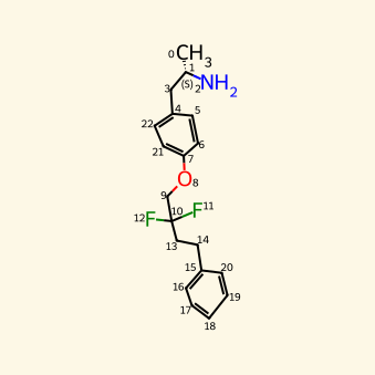 C[C@H](N)Cc1ccc(OCC(F)(F)CCc2ccccc2)cc1